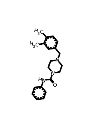 Cc1ccc(CN2CCN(C(=O)Nc3ccccc3)CC2)cc1C